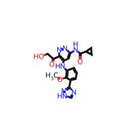 COc1c(Nc2cc(NC(=O)C3CC3)nnc2C(=O)CO)cccc1-c1nc[nH]n1